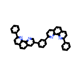 c1ccc(-c2ccc3ccc4cc(-c5cccc(-c6ccc7ccc8ccc(-c9ccccc9)nc8c7n6)c5)cnc4c3n2)cc1